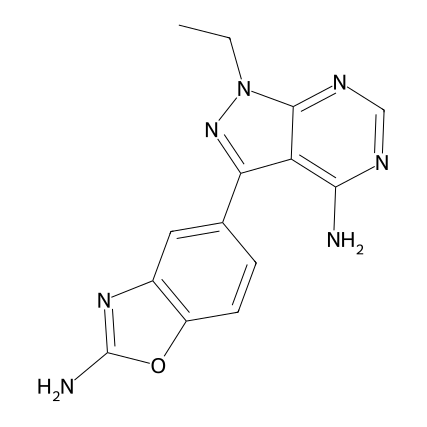 CCn1nc(-c2ccc3oc(N)nc3c2)c2c(N)ncnc21